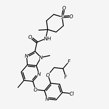 Cc1cc2nc(C(=O)NC3(C)CCS(=O)(=O)CC3)n(C)c2nc1Oc1ncc(Cl)cc1OCC(F)F